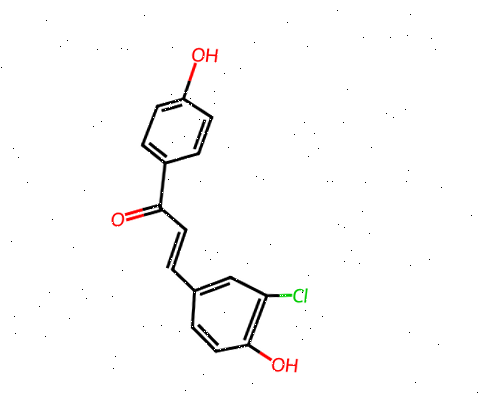 O=C(C=Cc1ccc(O)c(Cl)c1)c1ccc(O)cc1